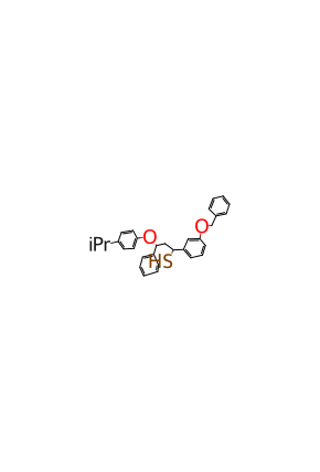 CC(C)c1ccc(OC(CC(S)c2cccc(OCc3ccccc3)c2)c2ccccc2)cc1